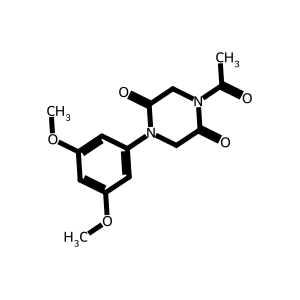 COc1cc(OC)cc(N2CC(=O)N(C(C)=O)CC2=O)c1